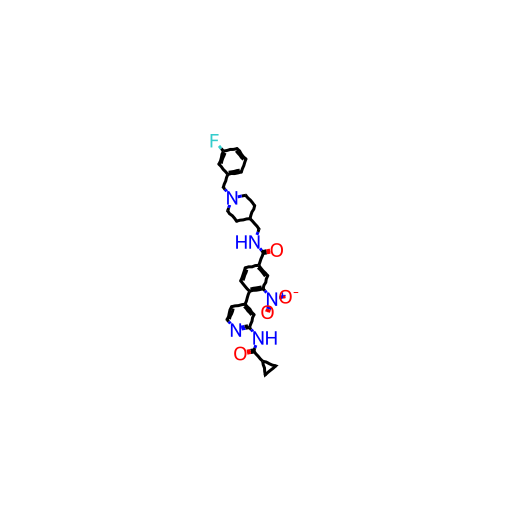 O=C(NCC1CCN(Cc2cccc(F)c2)CC1)c1ccc(-c2ccnc(NC(=O)C3CC3)c2)c([N+](=O)[O-])c1